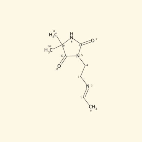 CC=NCCN1C(=O)NC(C)(C)C1=O